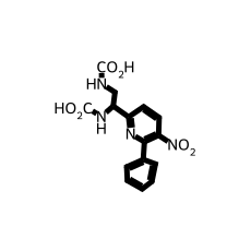 O=C(O)NCC(NC(=O)O)c1ccc([N+](=O)[O-])c(-c2ccccc2)n1